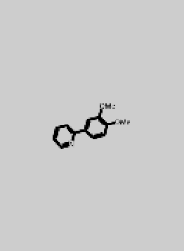 COc1ccc(-c2ccccn2)cc1OC